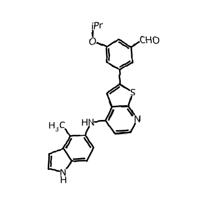 Cc1c(Nc2ccnc3sc(-c4cc(C=O)cc(OC(C)C)c4)cc23)ccc2[nH]ccc12